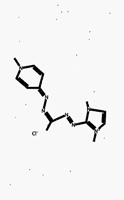 CC(N=Nc1n(C)cc[n+]1C)=NN=c1ccn(C)cc1.[Cl-]